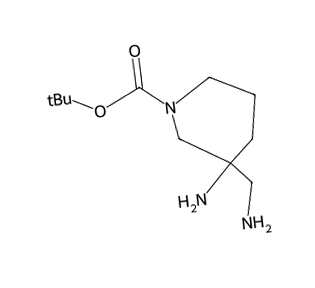 CC(C)(C)OC(=O)N1CCCC(N)(CN)C1